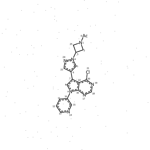 CC(=O)N1CC(n2cc(-c3cn(-c4cccnc4)c4ncnc(Cl)c34)cn2)C1